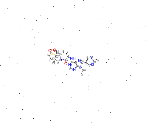 CC[C@@H](Nc1ncnc2c1nc(-c1cnc(C)nc1)n2CC)C(=O)N1C[C@H]2CCS(=O)(=O)[C@H]2C1